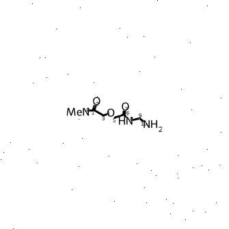 CNC(=O)COCC(=O)NCN